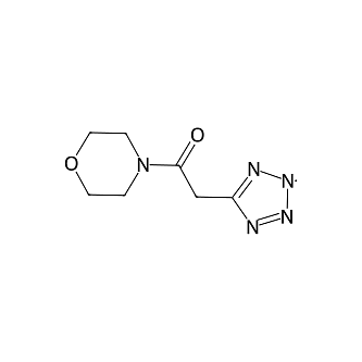 O=C(CC1=N[N]N=N1)N1CCOCC1